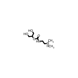 C[SiH](C)CCNC(=O)OC(CO)CO